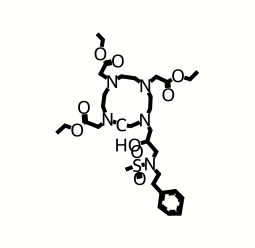 CCOC(=O)CN1CCN(CC(=O)OCC)CCN(CC(O)CN(CCc2ccccc2)S(C)(=O)=O)CCN(CC(=O)OCC)CC1